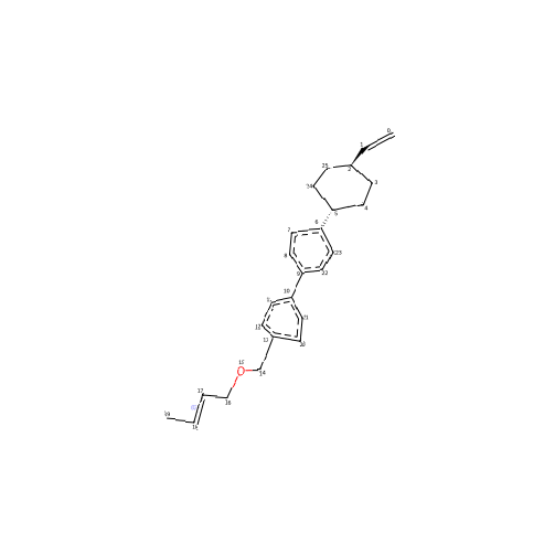 C=C[C@H]1CC[C@H](c2ccc(-c3ccc(COC/C=C/C)cc3)cc2)CC1